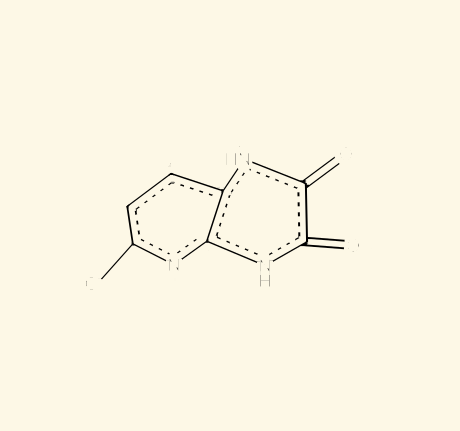 O=c1[nH]c2ccc(Cl)nc2[nH]c1=O